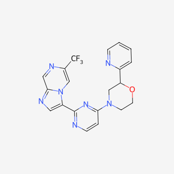 FC(F)(F)c1cn2c(-c3nccc(N4CCOC(c5ccccn5)C4)n3)cnc2cn1